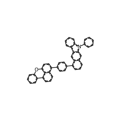 c1ccc(-n2c3ccccc3c3cc4c(-c5ccc(-c6ccc7c8c(cccc68)-c6ccccc6O7)cc5)cccc4cc32)cc1